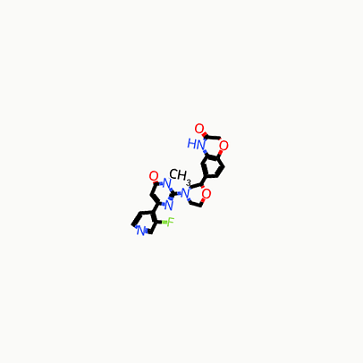 Cn1c(N2CCOC(c3ccc4c(c3)NC(=O)CO4)C2)nc(-c2ccncc2F)cc1=O